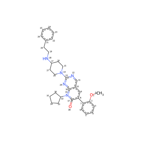 COc1ccccc1-c1cc2cnc(N3CCC(NCCc4ccccc4)CC3)nc2n(C2CCCC2)c1=O